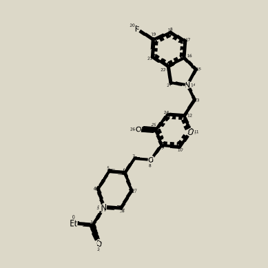 CCC(=O)N1CCC(COc2coc(CN3Cc4ccc(F)cc4C3)cc2=O)CC1